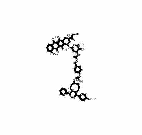 COc1cccc2c1C(=O)c1c(O)c3c(c(O)c1C2=O)C[C@@](O)(C(=O)CO)CC3OC1CC(NC(=O)OCc2ccc(OC(=O)NC3CCC4C(c5ccc(NC(C)=O)cn5)=NN=C(c5ccccn5)C4CCC3N)cc2)C(O)C(C)O1